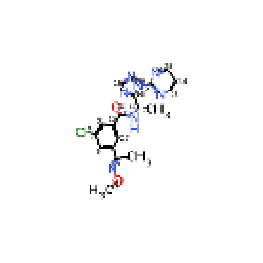 CO/N=C(\C)c1cc(Cl)cc(C(=O)N[C@@H](C)c2ncnn2-c2ncccn2)c1